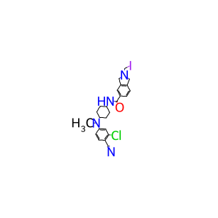 CN(c1ccc(C#N)c(Cl)c1)[C@H]1CC[C@H](NC(=O)c2ccc3c(c2)CN(CI)C3)CC1